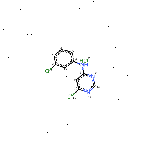 Cl.Clc1cccc(Nc2cc(Cl)ncn2)c1